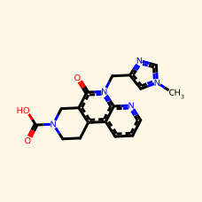 Cn1cnc(Cn2c(=O)c3c(c4cccnc42)CCN(C(=O)O)C3)c1